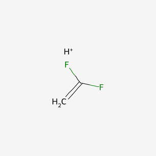 C=C(F)F.[H+]